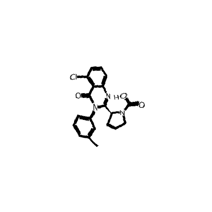 Cc1cccc(-n2c([C@@H]3CCCN3C(=O)O)nc3cccc(Cl)c3c2=O)c1